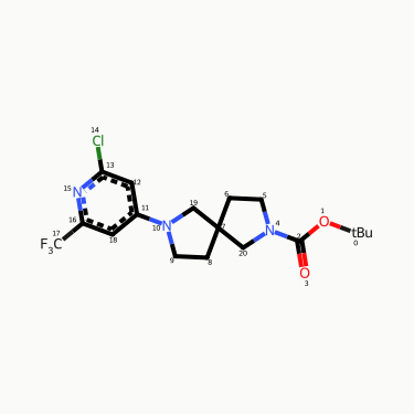 CC(C)(C)OC(=O)N1CCC2(CCN(c3cc(Cl)nc(C(F)(F)F)c3)C2)C1